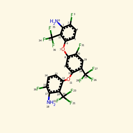 Nc1c(F)ccc(Oc2cc(Oc3ccc(F)c(N)c3C(F)(F)F)c(C(F)(F)F)cc2F)c1C(F)(F)F